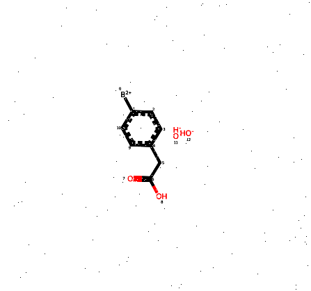 [B+2]c1ccc(CC(=O)O)cc1.[OH-].[OH-]